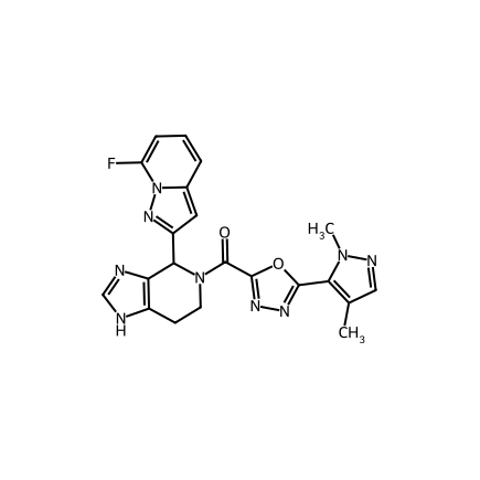 Cc1cnn(C)c1-c1nnc(C(=O)N2CCc3[nH]cnc3C2c2cc3cccc(F)n3n2)o1